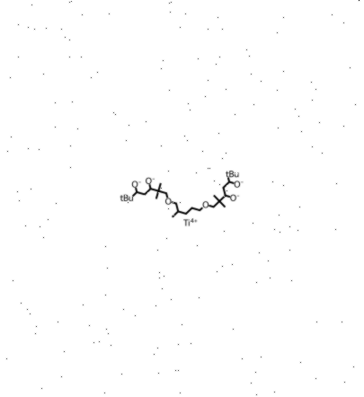 CC(CCCOCC(C)(C)C([O-])CC([O-])C(C)(C)C)COCC(C)(C)C([O-])CC([O-])C(C)(C)C.[Ti+4]